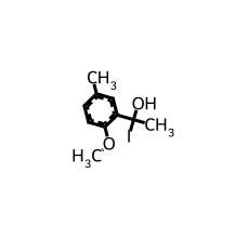 COc1ccc(C)cc1C(C)(O)I